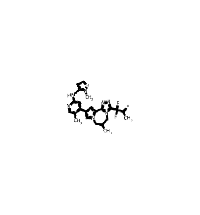 Cc1cnc(Nc2ccnn2C)cc1-c1cc2n(c1)CC(C)Cn1c-2nnc1C(F)(F)C(C)F